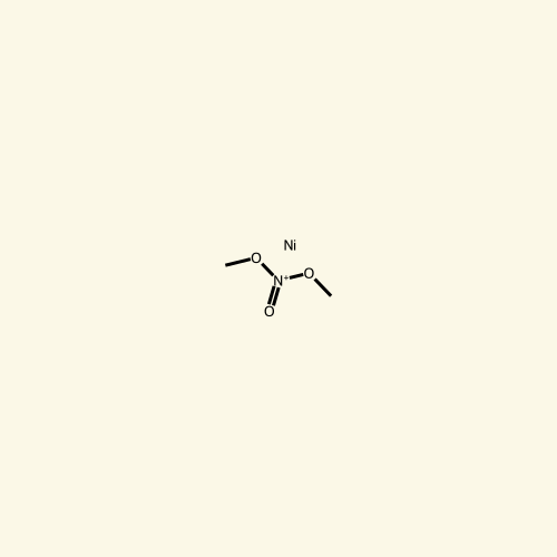 CO[N+](=O)OC.[Ni]